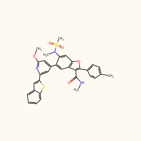 CNC(=O)c1c(-c2ccc(C)cc2)oc2cc(N(C)S(C)(=O)=O)c(-c3cc(OC)nc(-c4cc5ccccc5s4)c3)cc12